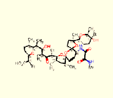 CCCNC(=O)C(=O)N[C@@H]1C=C[C@]2(O[C@H]([C@@H](CC)C(=O)[C@@H](C)[C@@H](O)[C@H](C)[C@@H]3O[C@@H]([C@@H](CC)C(=O)O)CC[C@@H]3C)[C@@H](C)C[C@H]2C)O[C@@]12CC[C@@](C)([C@H]1CC[C@](O)(CC)[C@H](C)O1)O2